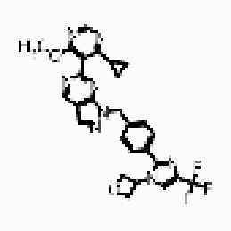 COc1ncnc(C2CC2)c1-c1ncc2cnn(Cc3ccc(-c4nc(C(F)(F)F)cn4C4COC4)cc3)c2n1